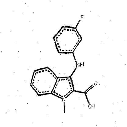 Cn1c(C(=O)O)c(Nc2cccc(F)c2)c2ccccc21